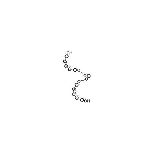 Oc1ccc(-c2ccc(-c3ccc(-c4ccc(-c5ccc(OCCCCOc6ccccc6OCCCCOc6ccc(-c7ccc(-c8ccc(-c9ccc(-c%10ccc(O)cc%10)s9)s8)s7)cc6)cc5)s4)s3)s2)cc1